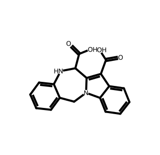 O=C(O)c1c2n(c3ccccc13)Cc1ccccc1NC2C(=O)O